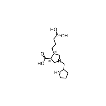 O=C(O)[C@@H]1CN(CC2CCCN2)C[C@@H]1CCCB(O)O